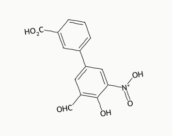 O=Cc1cc(-c2cccc(C(=O)O)c2)cc([N+](=O)O)c1O